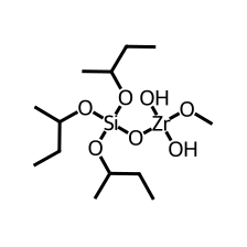 CCC(C)O[Si](OC(C)CC)(OC(C)CC)[O][Zr]([OH])([OH])[O]C